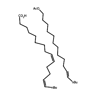 CCCC/C=C/CCCCCCCCCCOC(C)=O.CCCC/C=C\CC/C=C\CCCCCCCC(=O)O